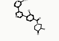 CC(C)(C)c1cc(-c2cncc(-c3ccc(C(=O)N4CCC(=O)C(F)C4)cc3Cl)c2)ccn1